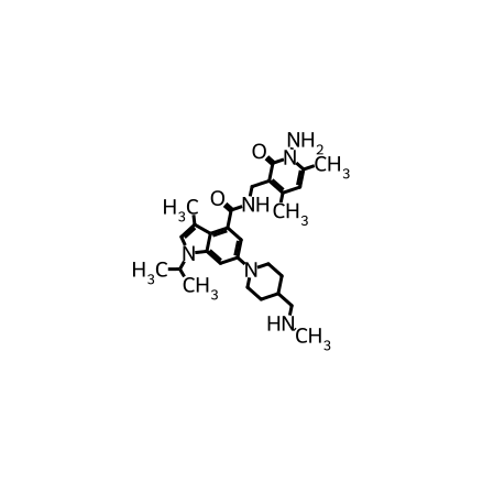 CNCC1CCN(c2cc(C(=O)NCc3c(C)cc(C)n(N)c3=O)c3c(C)cn(C(C)C)c3c2)CC1